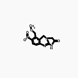 COCc1c([N+](=O)[O-])ccc2c1CN1CC(=O)NC1=N2